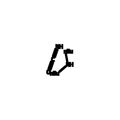 CCCCNCCCC.N=C=O